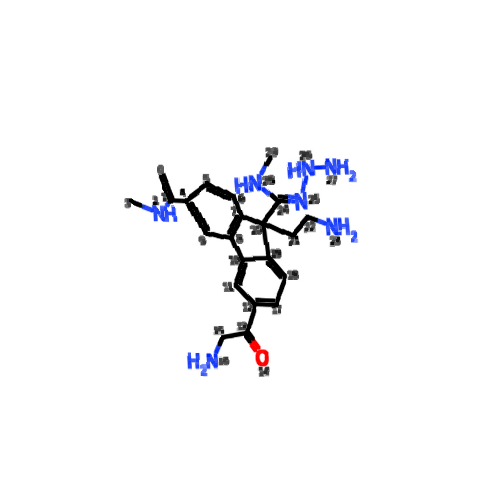 C=C(NC)c1ccc2c(c1)-c1cc(C(=O)CN)ccc1C2(CCN)/C(=N/NN)NC